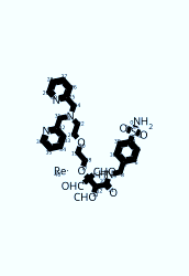 NS(=O)(=O)c1ccc(CNC(=O)C(C=O)C(C=O)(C=O)OCCOCCN(Cc2ccccn2)Cc2ccccn2)cc1.[Re]